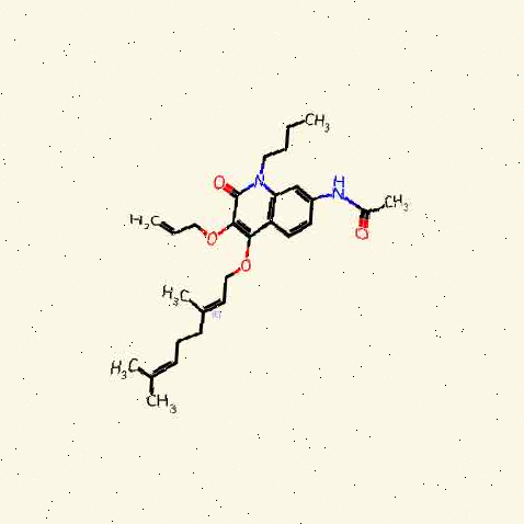 C=CCOc1c(OC/C=C(\C)CCC=C(C)C)c2ccc(NC(C)=O)cc2n(CCCC)c1=O